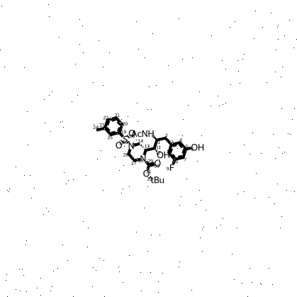 CC(=O)N[C@@H](Cc1cc(O)cc(F)c1)[C@H](O)[C@H]1CN(S(=O)(=O)c2cccc(C)c2)CCN1C(=O)OC(C)(C)C